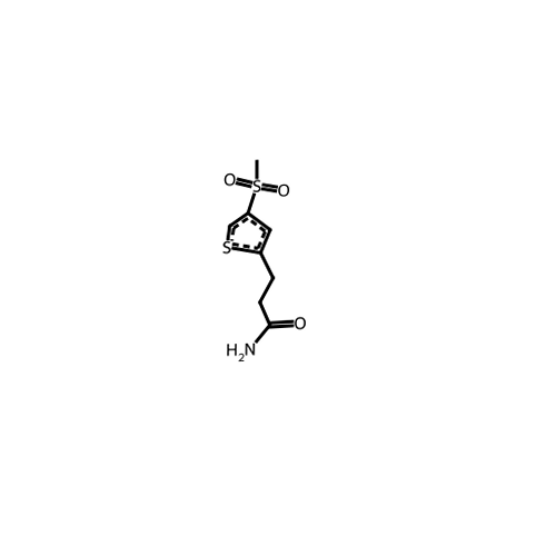 CS(=O)(=O)c1csc(CCC(N)=O)c1